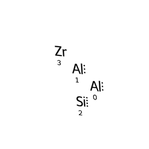 [Al].[Al].[Si].[Zr]